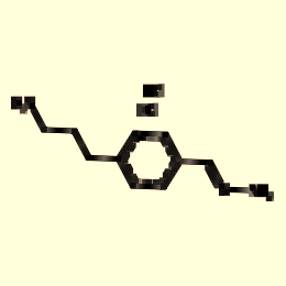 Cl.Cl.NCCCc1ccc(C=NN)cc1